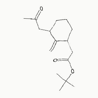 C=C1C(CC(C)=O)CCCC1CC(=O)OC(C)(C)C